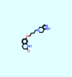 O=C1CCc2ccc(OCCCCN3CCc4[nH]ncc4C3)cc2N1